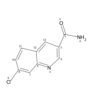 NC(=O)c1cnc2cc(Cl)ccc2c1